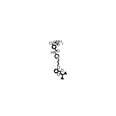 NS(=O)(=O)c1cc(C(=O)NC2CCN(CCCCOc3cccc4c3C(=O)C(=C(C3CC3)C3CC3)O4)CC2)ccc1Cl